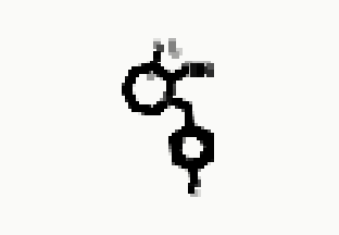 N[C@@H]1CCCCN(Cc2ccc(O)cc2)C1C=O